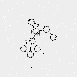 c1ccc(-c2cccc(-c3nc(-c4ccc5c(c4)Sc4ccccc4C5(c4ccccc4)c4ccccc4)nc4c3sc3ccccc34)c2)cc1